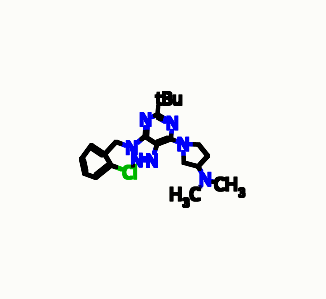 CN(C)C1CCN(c2nc(C(C)(C)C)nc3c2nnn3Cc2ccccc2Cl)C1